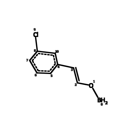 BOC=Cc1cccc(Cl)c1